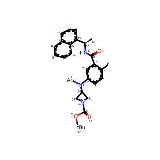 CC(=O)N(c1ccc(C)c(C(=O)N[C@H](C)c2cccc3ccccc23)c1)C1CN(C(=O)OC(C)(C)C)C1